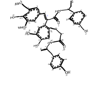 COc1cc(/C=C(/C(=O)NC(C)c2ccc(O)cc2)c2cc(O)c(O)cc2CCC(=O)NC(C)c2ccc(O)cc2)cc(OC)c1O